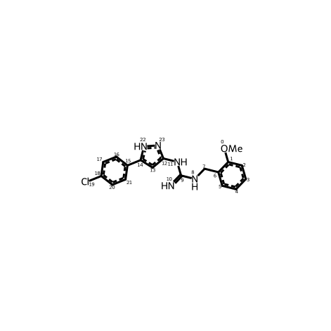 COc1ccccc1CNC(=N)Nc1cc(-c2ccc(Cl)cc2)[nH]n1